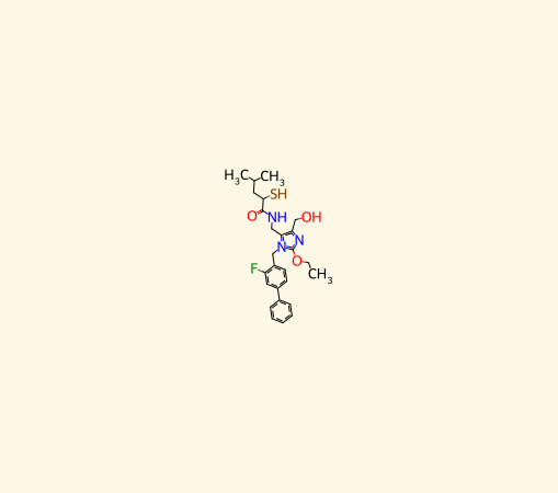 CCOc1nc(CO)c(CNC(=O)C(S)CC(C)C)n1Cc1ccc(-c2ccccc2)cc1F